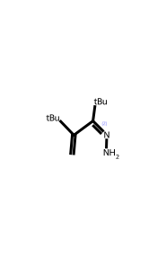 C=C(/C(=N\N)C(C)(C)C)C(C)(C)C